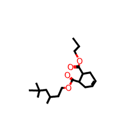 CCCOC(=O)C1CC=CCC1C(=O)OCCC(C)CC(C)(C)C